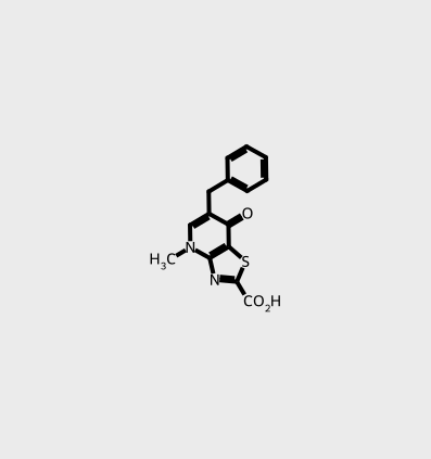 Cn1cc(Cc2ccccc2)c(=O)c2sc(C(=O)O)nc21